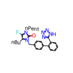 CCCCCn1c(F)c(CCCC)n(Cc2ccc(-c3ccccc3-c3nnn[nH]3)cc2)c1=O